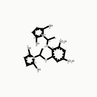 CC(Oc1cc(S(=O)(=O)O)cc(S(=O)(=O)O)c1OC(C)n1c(S)ccc1S)n1c(S)ccc1S